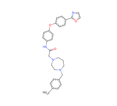 O=C(CN1CCCN(Cc2ccc(C(=O)O)cc2)CC1)Nc1ccc(Oc2ccc(-c3ncco3)cc2)cc1